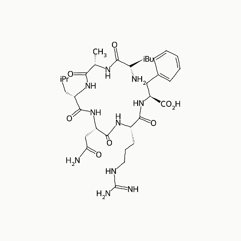 CC[C@H](C)[C@H](N)C(=O)N[C@@H](C)C(=O)N[C@@H](CC(C)C)C(=O)N[C@@H](CC(N)=O)C(=O)N[C@@H](CCCNC(=N)N)C(=O)N[C@@H](Cc1ccccc1)C(=O)O